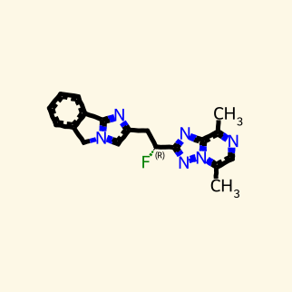 Cc1ncc(C)n2nc([C@H](F)Cc3cn4c(n3)-c3ccccc3C4)nc12